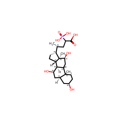 C[C@H](CC(C(=O)O)P(=O)(O)O)[C@H]1CC[C@H]2[C@@H]3[C@H](O)C[C@@H]4C[C@H](O)CC[C@]4(C)[C@H]3C[C@H](O)[C@]12C